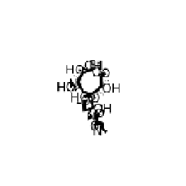 CC[C@H]1OC(=O)[C@H](C)[C@@H](O)[C@H](C)[C@@H](O[C@@H]2O[C@H](C)C[C@H](N(C)C(=O)c3cc(C)no3)[C@H]2O)C(C)(O)C[C@@H](C)/C(=N\O)[C@H](C)[C@@H](O)[C@]1(C)O